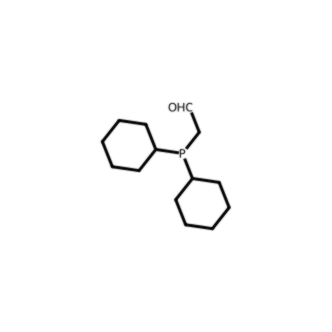 O=CCP(C1CCCCC1)C1CCCCC1